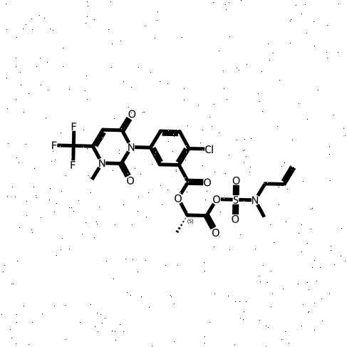 C=CCN(C)S(=O)(=O)OC(=O)[C@H](C)OC(=O)c1cc(-n2c(=O)cc(C(F)(F)F)n(C)c2=O)ccc1Cl